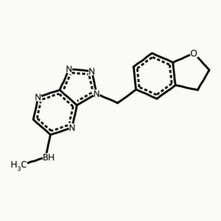 CBc1cnc2nnn(Cc3ccc4c(c3)CCO4)c2n1